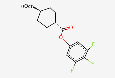 CCCCCCCC[C@H]1CC[C@H](C(=O)Oc2cc(F)c(F)c(F)c2)CC1